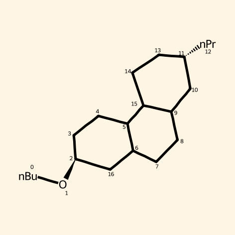 CCCCO[C@H]1CCC2C(CCC3C[C@@H](CCC)CCC32)C1